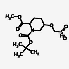 COC(=O)C1CCC(OC[SH](=O)=O)CN1C(=O)OC(C)(C)C